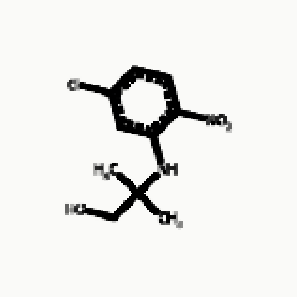 CC(C)(CO)Nc1cc(Cl)ccc1[N+](=O)[O-]